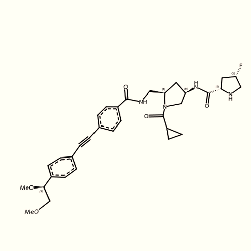 COC[C@@H](OC)c1ccc(C#Cc2ccc(C(=O)NC[C@H]3C[C@@H](NC(=O)[C@@H]4C[C@H](F)CN4)CN3C(=O)C3CC3)cc2)cc1